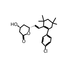 CC1(C)CC(c2ccc(Cl)cc2)=C(C=C[C@H]2C[C@H](O)CC(=O)O2)C(C)(C)C1